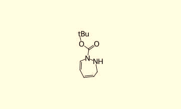 CC(C)(C)OC(=O)N1C=CC=CCN1